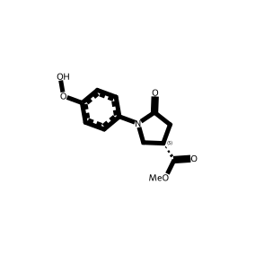 COC(=O)[C@H]1CC(=O)N(c2ccc(OO)cc2)C1